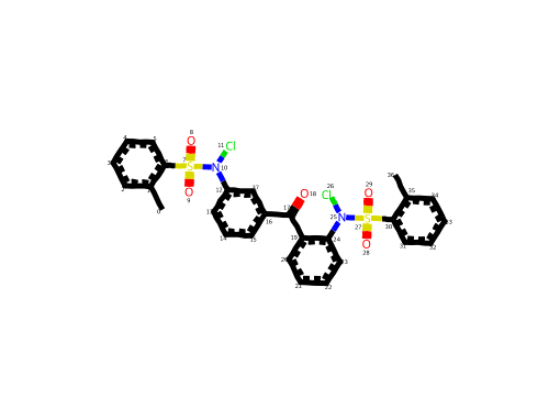 Cc1ccccc1S(=O)(=O)N(Cl)c1cccc(C(=O)c2ccccc2N(Cl)S(=O)(=O)c2ccccc2C)c1